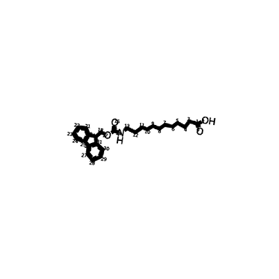 O=C(O)CCCCCCCCCCCNC(=O)OCC1c2ccccc2-c2ccccc21